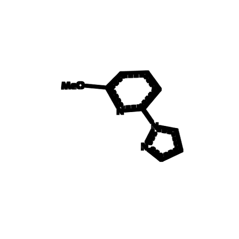 COc1cccc(-n2cccn2)n1